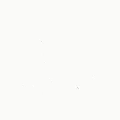 O=C(O)C1=CC2CN1/C=C/N=C\OC/C=C/C=C/C=C\c1cccnc1O2